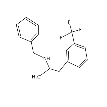 CC(Cc1cccc(C(F)(F)F)c1)NCc1ccccc1